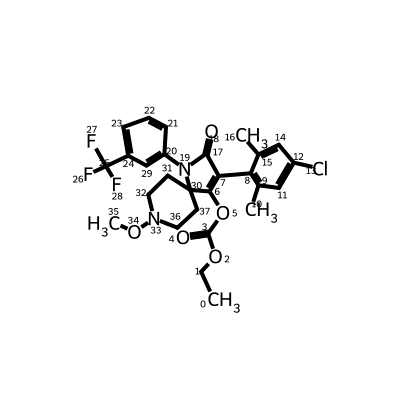 CCOC(=O)OC1=C(c2c(C)cc(Cl)cc2C)C(=O)N(c2cccc(C(F)(F)F)c2)C12CCN(OC)CC2